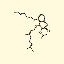 CCC=CCCOc1cccc2oc(=O)c(OC(C)C)c(OCC=C(C)CCC=C(C)C)c12